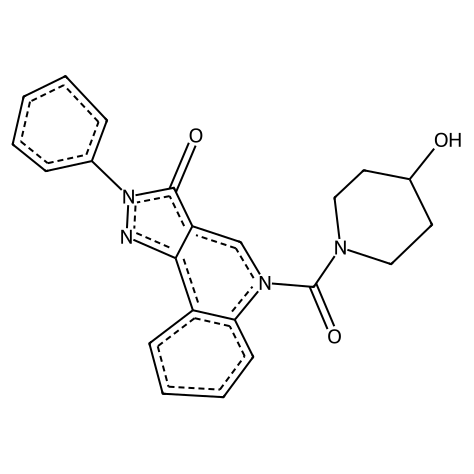 O=C(N1CCC(O)CC1)n1cc2c(=O)n(-c3ccccc3)nc-2c2ccccc21